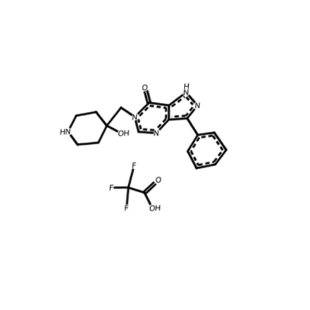 O=C(O)C(F)(F)F.O=c1c2[nH]nc(-c3ccccc3)c2ncn1CC1(O)CCNCC1